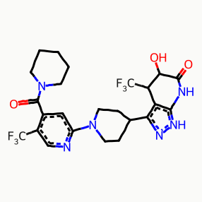 O=C1Nc2[nH]nc(C3CCN(c4cc(C(=O)N5CCCCC5)c(C(F)(F)F)cn4)CC3)c2C(C(F)(F)F)C1O